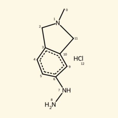 CN1Cc2ccc(NN)cc2C1.Cl